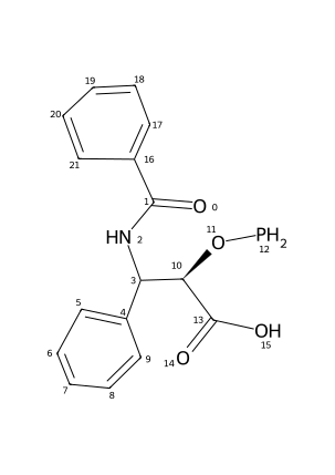 O=C(NC(c1ccccc1)[C@@H](OP)C(=O)O)c1ccccc1